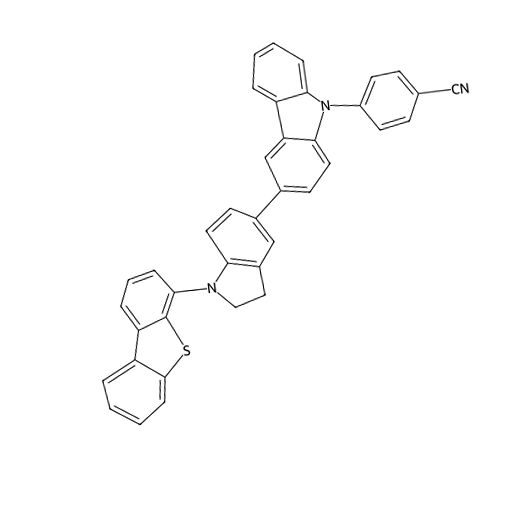 N#Cc1ccc(-n2c3ccccc3c3cc(-c4ccc5c(c4)CCN5c4cccc5c4sc4ccccc45)ccc32)cc1